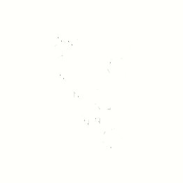 CCn1ncc(CN2CCN(c3cnn(-c4ccccc4)c(=O)c3SCc3ccc(Cl)cc3)CC2)c1C